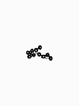 c1ccc(-c2cccc(N(c3ccc(-c4ccc5oc6c(-c7ccccc7)cccc6c5c4)cc3)c3ccc4c(c3)C(c3ccccc3)(c3ccccc3)c3ccccc3-4)c2)cc1